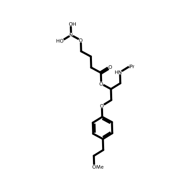 COCCc1ccc(OCC(CNC(C)C)OC(=O)CCCON(O)O)cc1